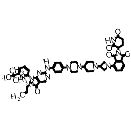 C=CCn1c(=O)c2cnc(Nc3ccc(N4CCN(C5CCN(C6CN(c7cccc8c7C(=O)N(C7CCC(=O)NC7=O)C8=O)C6)CC5)CC4)cc3)nc2n1-c1cccc(C(C)(C)O)n1